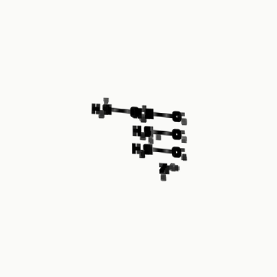 [O-][SiH3].[O-][SiH3].[O-][SiH3].[O-][SiH3].[Zr+4]